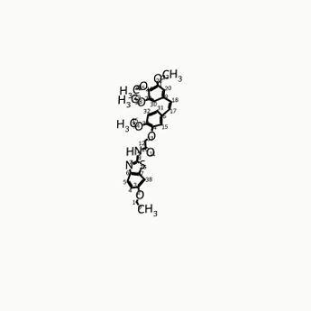 CCOc1ccc2nc(NC(=O)COc3cc(/C=C\c4cc(OC)c(OC)c(OC)c4)ccc3OC)sc2c1